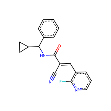 N#CC(=Cc1cccnc1F)C(=O)NC(c1ccccc1)C1CC1